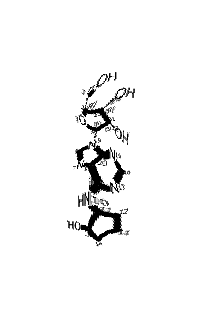 OC[C@H]1O[C@@H](n2cnc3c(NC4CCCC4O)ncnc32)[C@@H](O)[C@H]1O